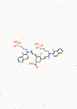 C/C(=C\C=C1/CC(C(=O)O)CC(/C=C/C(C)=[N+](\CCCCS(=O)(=O)O)c2ccc3ccccc3c2C)=C1Cl)N(CCCCS(=O)(=O)O)c1ccc2ccccc2c1C